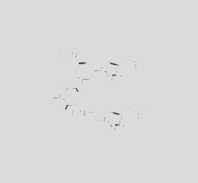 CC(C)Cc1cn(CCNCC(=O)N(C)C(C)C(=O)N(CCn2cc(CC(C)C)nn2)CC(N)=O)nn1